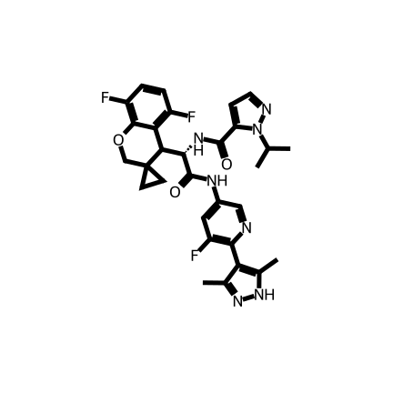 Cc1n[nH]c(C)c1-c1ncc(NC(=O)[C@@H](NC(=O)c2ccnn2C(C)C)C2c3c(F)ccc(F)c3OCC23CC3)cc1F